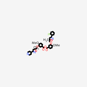 COc1ccc(C(=O)OC(=O)c2ccc(OC)c(OCC3(C)CC(c4ccccc4F)=NO3)c2)cc1OCC1(C)CC(c2ccncc2)=NO1